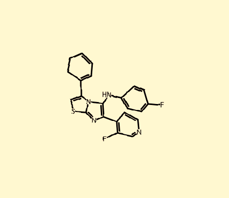 Fc1ccc(Nc2c(-c3ccncc3F)nc3scc(C4=CC=CCC4)n23)cc1